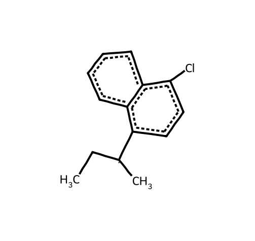 CC[C](C)c1ccc(Cl)c2ccccc12